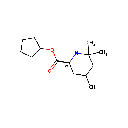 CC1C[C@@H](C(=O)OC2CCCC2)NC(C)(C)C1